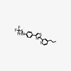 CCCc1ccnc(-c2nc(-c3ccc(NSC(F)(F)F)cc3)cs2)c1